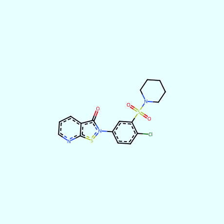 O=c1c2cccnc2sn1-c1ccc(Cl)c(S(=O)(=O)N2CCCCC2)c1